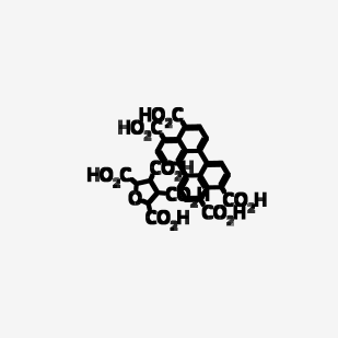 O=C(O)C1OC(C(=O)O)C(C(=O)O)C1C(=O)O.O=C(O)c1ccc2c3ccc(C(=O)O)c4c(C(=O)O)ccc(c5ccc(C(=O)O)c1c25)c43